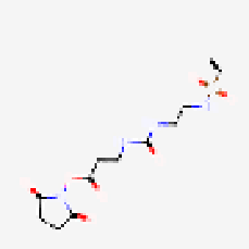 C=CS(=O)(=O)NCCNC(=O)NCCC(=O)ON1C(=O)CCC1=O